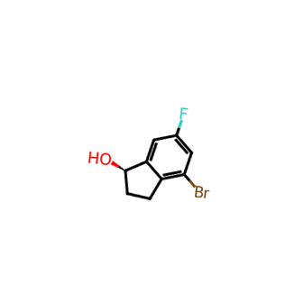 O[C@@H]1CCc2c(Br)cc(F)cc21